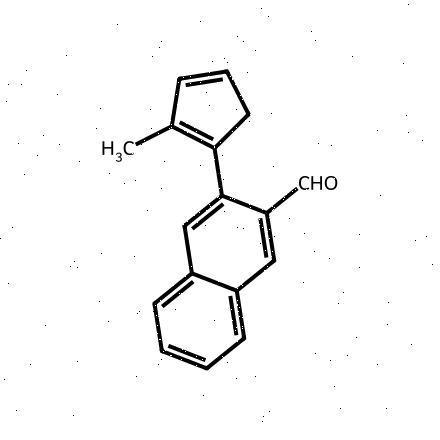 CC1=C(c2cc3ccccc3cc2C=O)CC=C1